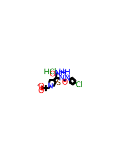 COC(=O)C(C)(C)CN1CCc2c(sc(NC(=O)Nc3ccc(Cl)cc3)c2C(N)=O)C1.Cl